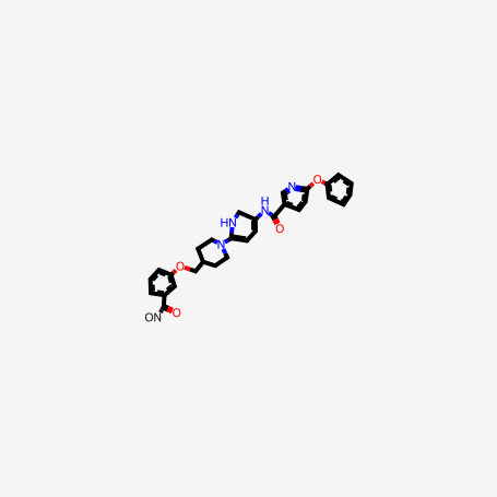 O=NC(=O)c1cccc(OCC2CCN(C3=CC=C(NC(=O)c4ccc(Oc5ccccc5)nc4)CN3)CC2)c1